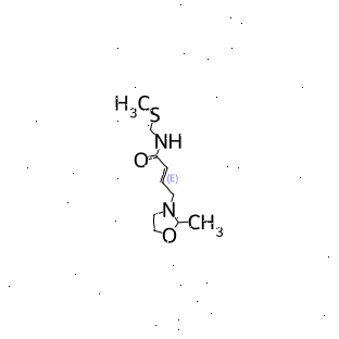 CSCNC(=O)/C=C/CN1CCOC1C